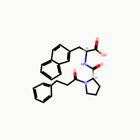 O=C(O)[C@H](Cc1ccc2ccccc2c1)NC(=O)[C@@H]1CCCN1C(=O)CCc1ccccc1